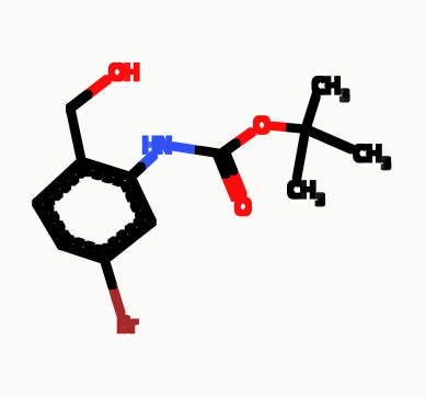 CC(C)(C)OC(=O)Nc1cc(Br)ccc1CO